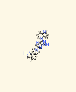 N[C@H]1[C@@H]2CC2CC12CCN(c1cnc3c(N4CCCc5ncccc54)n[nH]c3n1)CC2